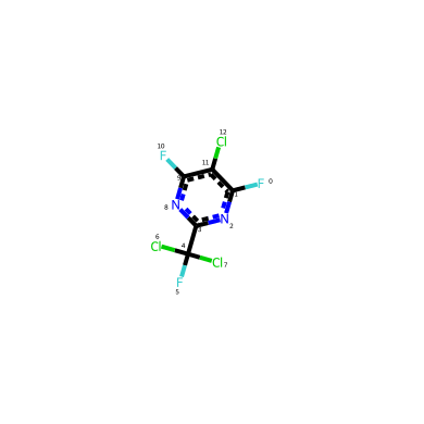 Fc1nc(C(F)(Cl)Cl)nc(F)c1Cl